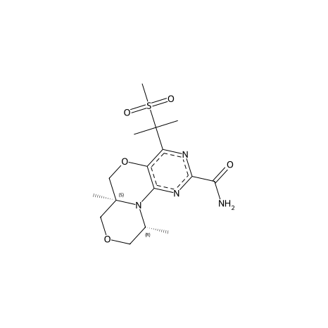 C[C@@H]1COC[C@@]2(C)COc3c(nc(C(N)=O)nc3C(C)(C)S(C)(=O)=O)N12